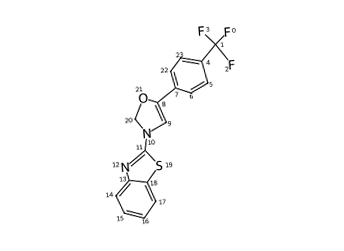 FC(F)(F)c1ccc(C2=CN(c3nc4ccccc4s3)CO2)cc1